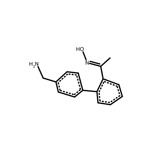 CC(=NO)c1ccccc1-c1ccc(CN)cc1